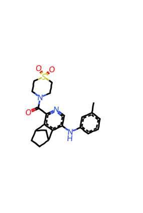 Cc1cccc(Nc2cnc(C(=O)N3CCS(=O)(=O)CC3)c3c2C2CCC3C2)c1